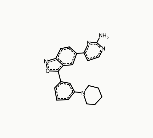 Nc1nccc(-c2ccc3noc(-c4cccc(N5CCCCC5)c4)c3c2)n1